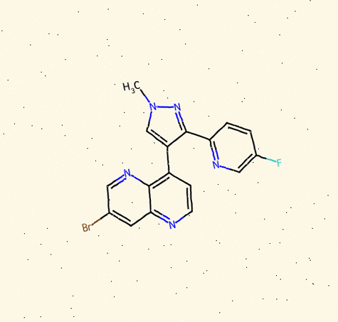 Cn1cc(-c2ccnc3cc(Br)cnc23)c(-c2ccc(F)cn2)n1